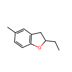 CCC1Cc2cc(C)ccc2O1